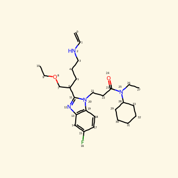 C=CNCCCC(COCC)c1nc2cc(F)ccc2n1CCC(=O)N(CC)C1CCCCC1